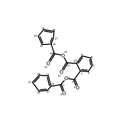 O=C(OC(=O)c1ccccc1C(=O)OC(=O)c1ccccc1)c1ccccc1